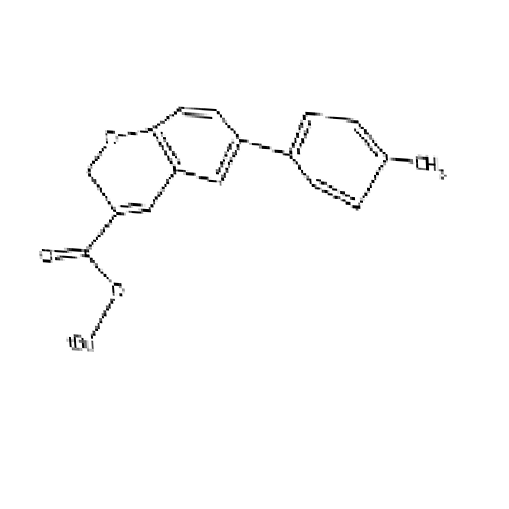 Cc1ccc(-c2ccc3c(c2)C=C(C(=O)OC(C)(C)C)CO3)cc1